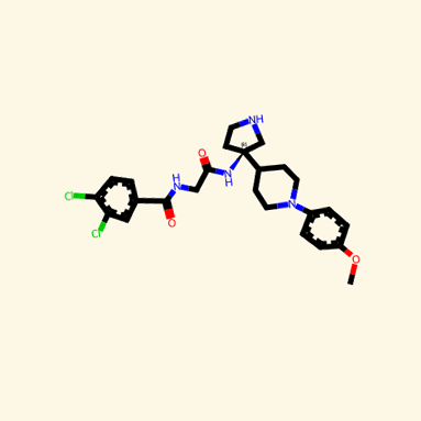 COc1ccc(N2CCC([C@]3(NC(=O)CNC(=O)c4ccc(Cl)c(Cl)c4)CCNC3)CC2)cc1